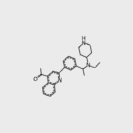 CCN(C1CCNCC1)C(C)c1cccc(-c2cc(C(C)=O)c3ccccc3n2)c1